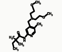 CCC(C)(C)C(=O)Nc1cc(CN(CCOC)CCOC)c(C)cn1